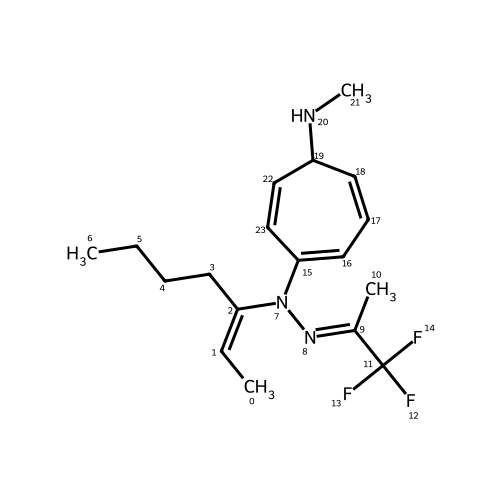 C/C=C(/CCCC)N(/N=C(\C)C(F)(F)F)C1=CC=CC(NC)C=C1